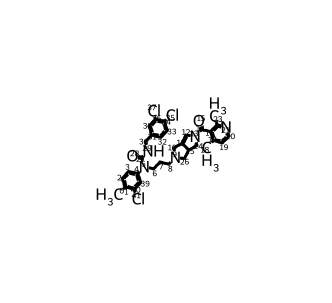 Cc1ccc(N(CCCN2CC3=CN(C(=O)c4c(C)ccnc4C)CC3C2)C(=O)NCc2ccc(Cl)c(Cl)c2)cc1Cl